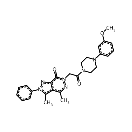 COc1cccc(N2CCN(C(=O)Cn3nc(C)c4c(C)n(-c5ccccc5)nc4c3=O)CC2)c1